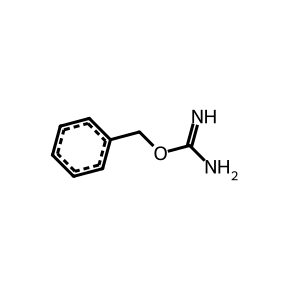 N=C(N)OCc1ccccc1